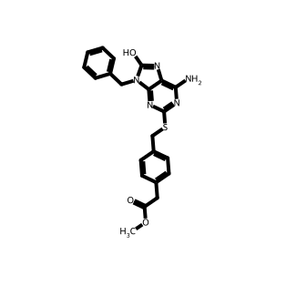 COC(=O)Cc1ccc(CSc2nc(N)c3nc(O)n(Cc4ccccc4)c3n2)cc1